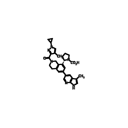 Cc1cn(C2CC2)nc1C(=O)N1CCc2cc(-c3cnc4[nH]cc(C)c4c3)cc([C@@H]3CCCN3C(=O)O)c2C1